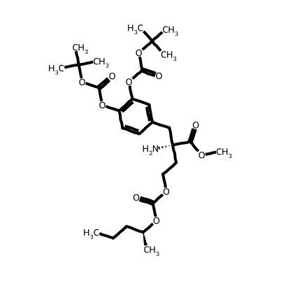 CCC[C@H](C)OC(=O)OCC[C@@](N)(Cc1ccc(OC(=O)OC(C)(C)C)c(OC(=O)OC(C)(C)C)c1)C(=O)OC